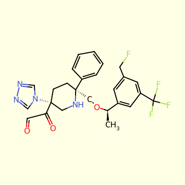 C[C@@H](OC[C@@]1(c2ccccc2)CC[C@@](C(=O)C=O)(n2cnnc2)CN1)c1cc(CF)cc(C(F)(F)F)c1